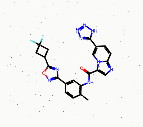 Cc1ccc(-c2noc(C3CC(F)(F)C3)n2)cc1NC(=O)c1cnc2ccc(-c3nnn[nH]3)cn12